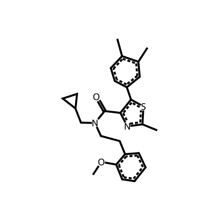 COc1ccccc1CCN(CC1CC1)C(=O)c1nc(C)sc1-c1ccc(C)c(C)c1